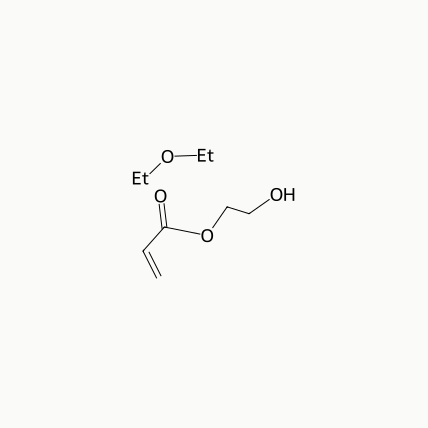 C=CC(=O)OCCO.CCOCC